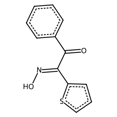 O=C(C(=NO)c1cccs1)c1ccccc1